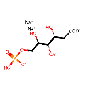 O=C([O-])C[C@@H](O)[C@H](O)[C@H](O)COP(=O)([O-])O.[Na+].[Na+]